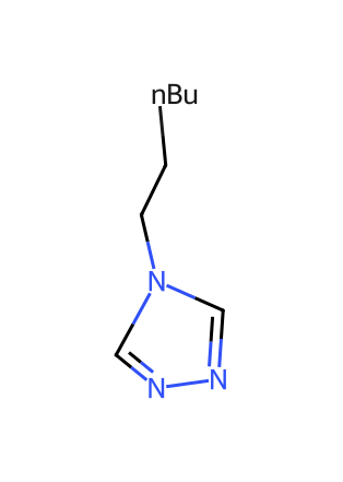 CCCCCCn1cnnc1